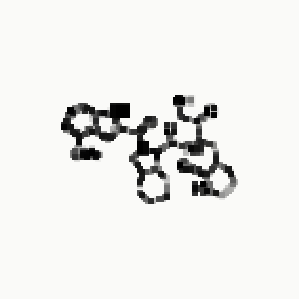 COc1cccc2[nH]c(C(=O)N3CC4CCCCC4C3C(=O)NC(CC3CCCNC3=O)C(=O)CO)cc12